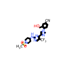 CS(=O)(=O)N1CCC(Nc2ncc(C(F)(F)F)c(-c3cn(-c4ccc(C#N)cc4CO)cn3)n2)CC1